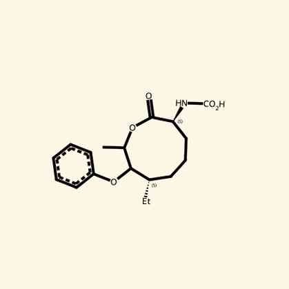 CC[C@H]1CCC[C@H](NC(=O)O)C(=O)OC(C)C1Oc1ccccc1